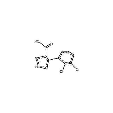 O=C(O)c1n[nH]cc1-c1cccc(Cl)c1Cl